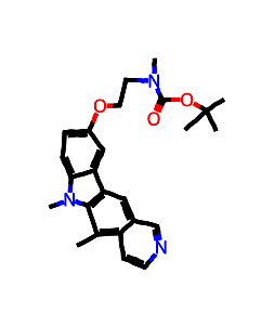 Cc1c2ccncc2cc2c3cc(OCCN(C)C(=O)OC(C)(C)C)ccc3n(C)c12